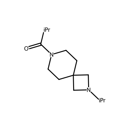 CC(C)C(=O)N1CCC2(CC1)CN(C(C)C)C2